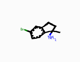 CC1(N)CCc2cc(Br)ccc21